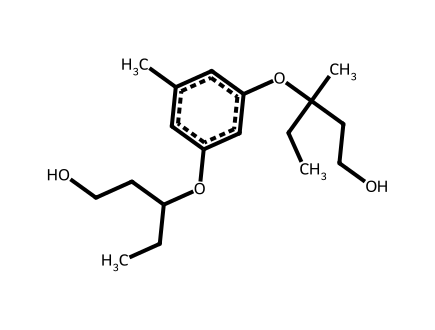 CCC(CCO)Oc1cc(C)cc(OC(C)(CC)CCO)c1